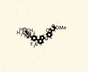 COC(=O)CC1COc2cc(O[C@@H]3CCc4c3ccc(C(F)(F)F)c4-c3ccc(-n4cnc(C(C)(C)O)n4)cc3)ccc21